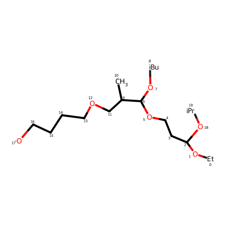 CCOC(CCOC(OC(C)CC)C(C)COCCCC[O])OC(C)C